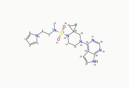 CN(CCn1cccc1)S(=O)(=O)N1CCN(c2ncnc3[nH]ccc23)CC12CC2